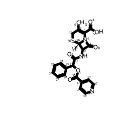 CC1=C(C(=O)O)N2C(=O)C(NC(=O)C(OC(=O)c3ccncc3)c3ccccc3)[C@H]2SC1